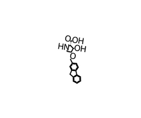 O=C(O)[C@H]1NC[C@@H](OCc2ccc3c(c2)Cc2ccccc2-3)[C@@H]1O